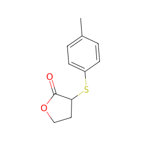 Cc1ccc(SC2CCOC2=O)cc1